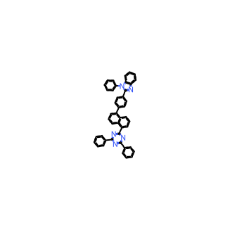 c1ccc(-c2nc(-c3ccccc3)nc(-c3cccc4c(-c5ccc(-c6nc7ccccc7n6-c6ccccc6)cc5)cccc34)n2)cc1